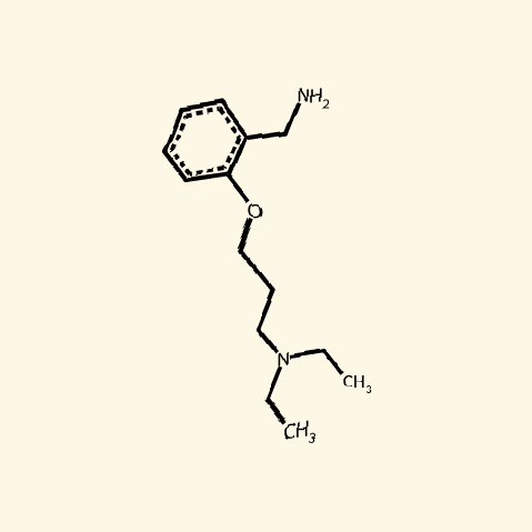 CCN(CC)CCCOc1ccccc1CN